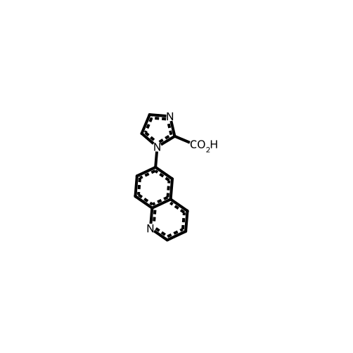 O=C(O)c1nccn1-c1ccc2ncccc2c1